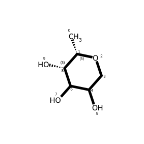 C[C@@H]1OCC(O)C(O)[C@@H]1O